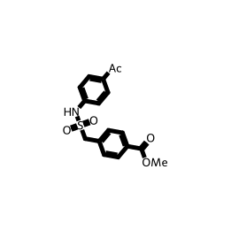 COC(=O)c1ccc(CS(=O)(=O)Nc2ccc(C(C)=O)cc2)cc1